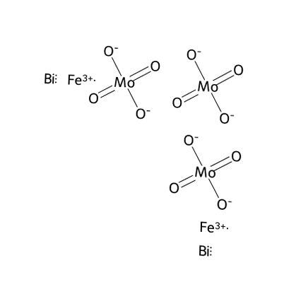 [Bi].[Bi].[Fe+3].[Fe+3].[O]=[Mo](=[O])([O-])[O-].[O]=[Mo](=[O])([O-])[O-].[O]=[Mo](=[O])([O-])[O-]